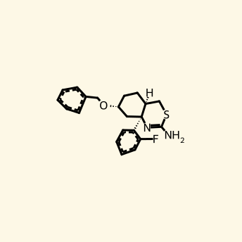 NC1=N[C@@]2(c3ccccc3F)C[C@H](OCc3ccccc3)CC[C@H]2CS1